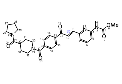 COC(=O)Nc1cccc(/C=C/C(=O)c2ccc(C(=O)N3CCC(C(=O)N4CCCC4)CC3)cc2)n1